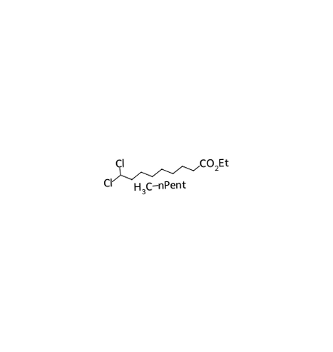 CCCCCC.CCOC(=O)CCCCCCCC(Cl)Cl